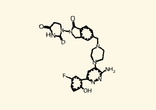 Nc1nnc(-c2cc(F)ccc2O)cc1N1CCN(Cc2ccc3c(c2)CN(N2CCC(=O)NC2=O)C3=O)CC1